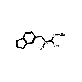 CC(C)(C)OC(O)[C@@H](N)Cc1ccc2c(c1)CCC2